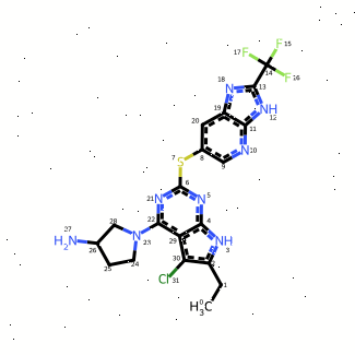 CCc1[nH]c2nc(Sc3cnc4[nH]c(C(F)(F)F)nc4c3)nc(N3CCC(N)C3)c2c1Cl